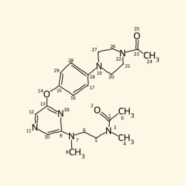 CC(=O)N(C)CCN(C)c1cncc(Oc2ccc(N3CCN(C(C)=O)CC3)cc2)n1